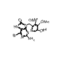 COc1c(O)cnc(Cn2c(=O)[nH]c3c(Br)nc(N)nc32)c1OC